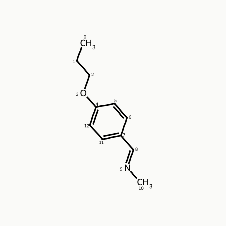 CCCOc1ccc(C=NC)cc1